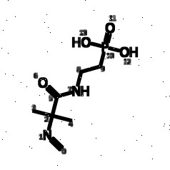 C=NC(C)(C)C(=O)NCCP(=O)(O)O